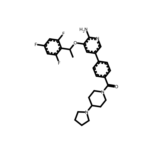 CC(Oc1cc(-c2ccc(C(=O)N3CCC(N4CCCC4)CC3)cc2)cnc1N)c1c(F)cc(F)cc1F